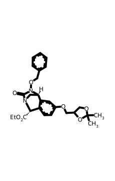 CCOC(=O)[C@H]1c2ccc(OCC3COC(C)(C)O3)cc2[C@H]2CN1C(=O)N2OCc1ccccc1